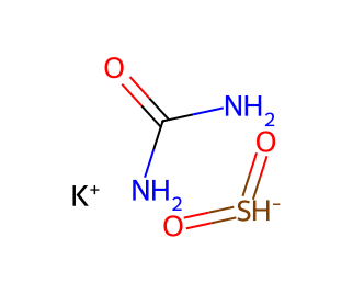 NC(N)=O.O=[SH-]=O.[K+]